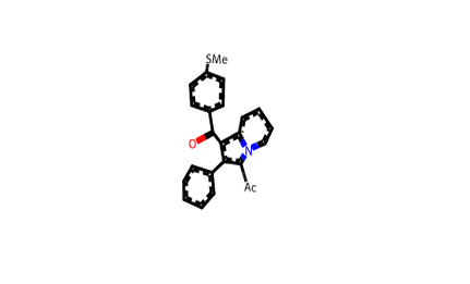 CSc1ccc(C(=O)c2c(-c3ccccc3)c(C(C)=O)n3ccccc23)cc1